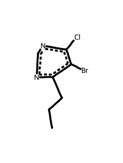 CCCc1ncnc(Cl)c1Br